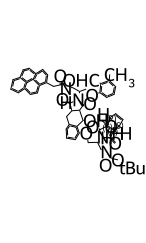 Cc1cccc(OCC(CNC(=O)Cc2ccc3ccc4cccc5ccc2c3c45)N2C(=O)C3Cc4cccc(OCC(CNC(=O)OC(C)(C)C)N5C(=O)[C@@H]6[C@H](C5=O)[C@H]5C=C[C@@H]6O5)c4C(O)C3C2=O)c1C=O